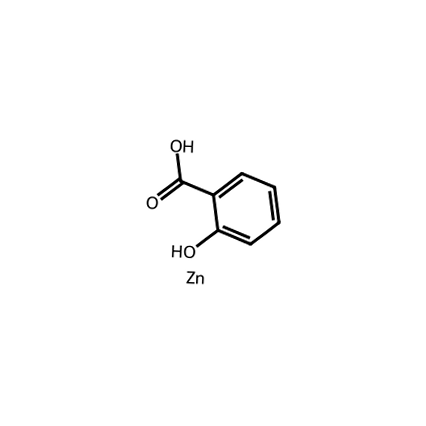 O=C(O)c1ccccc1O.[Zn]